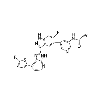 CC(C)C(=O)Nc1cncc(-c2cc3c(-c4nc5c(-c6ccc(F)s6)ccnc5[nH]4)n[nH]c3cc2F)c1